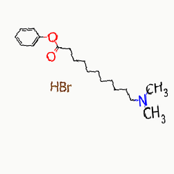 Br.CN(C)CCCCCCCCCCC(=O)Oc1ccccc1